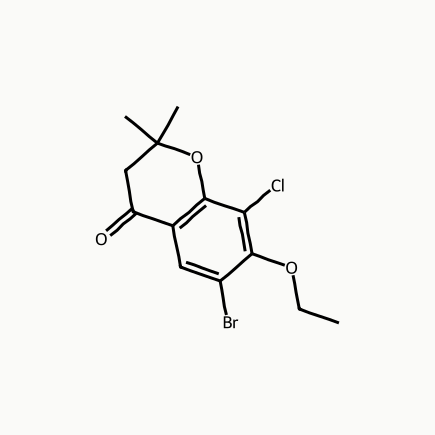 CCOc1c(Br)cc2c(c1Cl)OC(C)(C)CC2=O